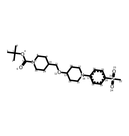 CC(C)(C)OC(=O)N1CCC(COC2CCN(c3ccc(S(C)(=O)=O)cc3)CC2)CC1